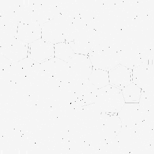 CC[C@@H]1CN(C(=O)c2cc3cc(OC)c(OC)c(OC)c3[nH]2)c2cc(O)c3[nH]cc(C(=O)OC)c3c21